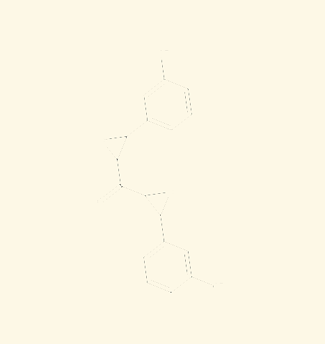 O=C(C1OC1c1cccc(C(F)(F)F)c1)C1OC1c1cccc(C(F)(F)F)c1